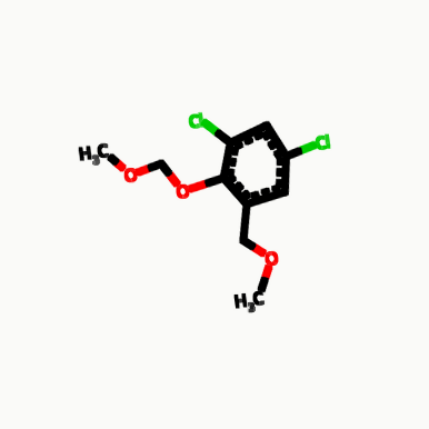 COCOc1c(Cl)cc(Cl)cc1COC